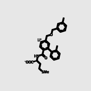 CSCC[C@H](NC(=O)c1ccc(COCc2cccc(C)c2)cc1-c1ccccc1C)C(=O)[O-].[Li+]